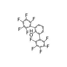 Oc1c(-c2c(F)c(F)c(F)c(F)c2F)cccc1-c1c(F)c(F)c(F)c(F)c1F